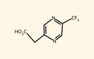 O=C(O)Cc1cnc(C(F)(F)F)cn1